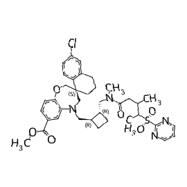 COC(=O)c1ccc2c(c1)N(C[C@@H]1CC[C@H]1CN(C)C(=O)CC(C)C(C)S(=O)(=O)c1ncccn1)C[C@@]1(CCCc3cc(Cl)ccc31)CO2